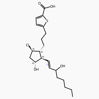 CCCCCC(O)/C=C/[C@@H]1[C@@H](CCCc2ccc(C(=O)O)s2)[C@H](Cl)C[C@H]1O